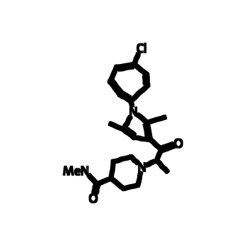 CNC(=O)C1CCN(C(C)C(=O)c2cc(C)n(C3=C=CC=C(Cl)C=C3)c2C)CC1